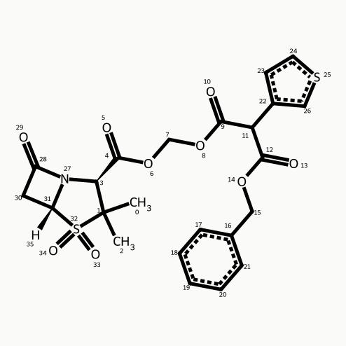 CC1(C)[C@H](C(=O)OCOC(=O)C(C(=O)OCc2ccccc2)c2ccsc2)N2C(=O)C[C@H]2S1(=O)=O